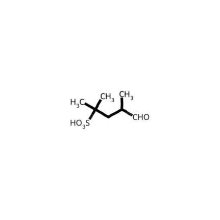 CC(C=O)CC(C)(C)S(=O)(=O)O